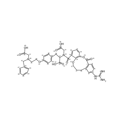 N=C(N)Nc1ccc2c(c1)CCCOc1c(cccc1C(=O)N(CC(=O)O)C(Cc1ccc(OCCN(CC(=O)O)Cc3ccccc3)cc1)C(=O)O)OC2=O